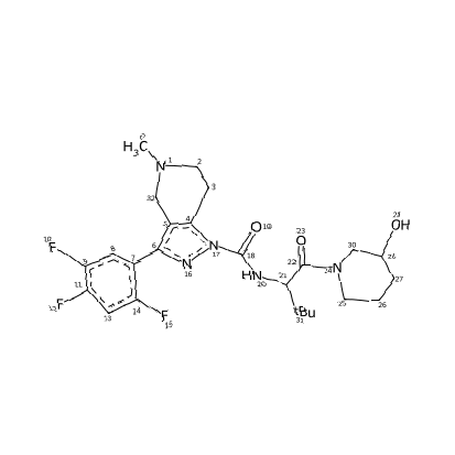 CN1CCc2c(c(-c3cc(F)c(F)cc3F)nn2C(=O)NC(C(=O)N2CCCC(O)C2)C(C)(C)C)C1